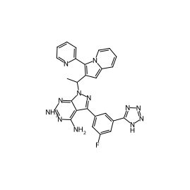 CC(c1cc2ccccn2c1-c1ccccn1)n1nc(-c2cc(F)cc(-c3nnn[nH]3)c2)c2c(N)ncnc21.N